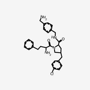 NCc1ccc(CNC(=O)C2CC(Cc3ccc(Cl)cc3)CN2C(=O)C(N)CCc2ccccc2)cc1